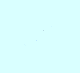 FC1(F)CCN(c2cc(C(F)(F)F)c(NC3C[C@@H]4CN(CC5CCOCC5)C[C@@H]4C3)nn2)C1